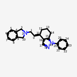 C(/CN1Cc2ccccc2C1)=C1/CCCc2c1cnn2-c1ccccc1